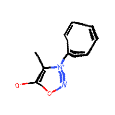 Cc1c([O-])on[n+]1-c1ccccc1